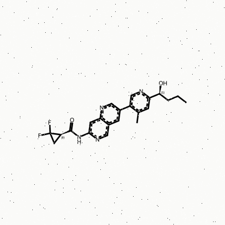 CCC[C@H](O)c1cc(C)c(-c2cnc3cc(NC(=O)[C@H]4CC4(F)F)ncc3c2)cn1